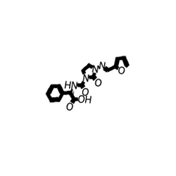 O=C(O)[C@H](NC(=O)N1CCN(N=Cc2ccco2)C1=O)c1ccccc1